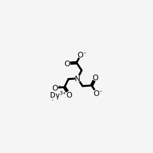 O=C([O-])CN(CC(=O)[O-])CC(=O)[O-].[Dy+3]